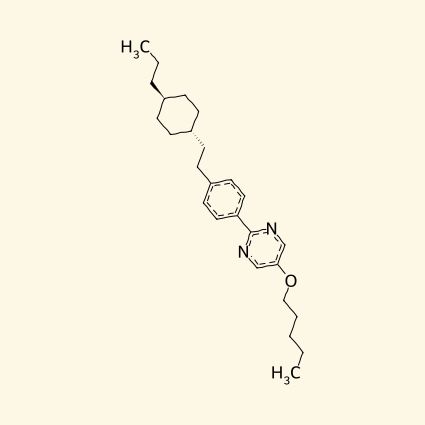 CCCCCOc1cnc(-c2ccc(CC[C@H]3CC[C@H](CCC)CC3)cc2)nc1